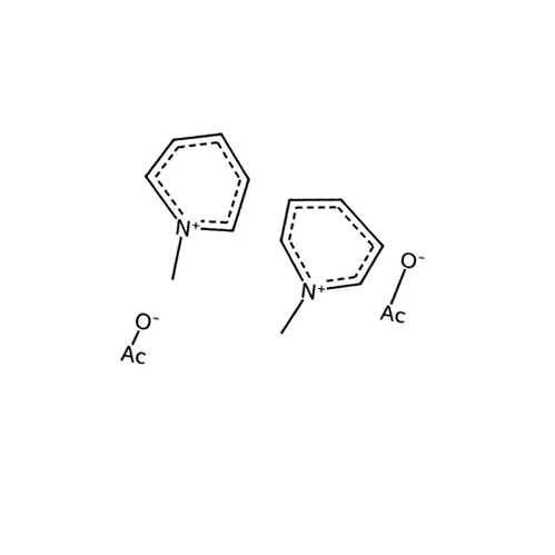 CC(=O)[O-].CC(=O)[O-].C[n+]1ccccc1.C[n+]1ccccc1